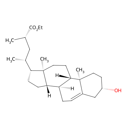 CCOC(=O)[C@@H](C)C[C@@H](C)[C@H]1CC[C@H]2[C@@H]3CC=C4C[C@@H](O)CC[C@]4(C)[C@H]3CC[C@]12C